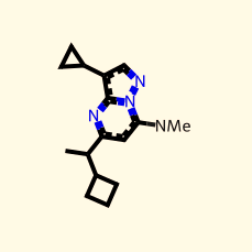 CNc1cc(C(C)C2CCC2)nc2c(C3CC3)cnn12